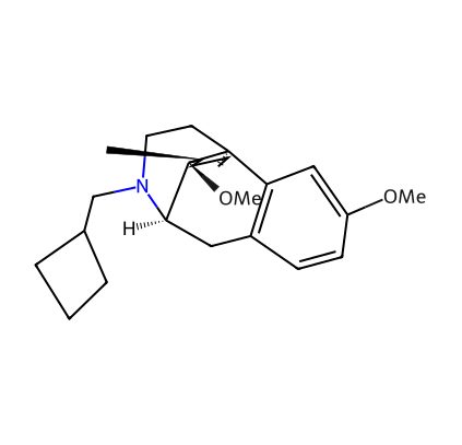 COc1ccc2c(c1)[C@@]13CCC[C@@H](C)[C@@]1(OC)[C@@H](C2)N(CC1CCC1)CC3